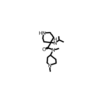 CC(C)NC1(C(=O)N(C)C2CCN(C)CC2)CCNCC1